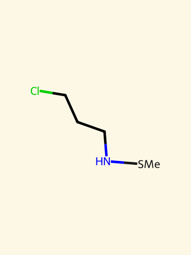 CSNCCCCl